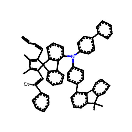 C=C/C=C\C1=C(C)C(C)=C(/C=C(\CC)c2ccccc2)C12c1ccccc1-c1c(N(c3ccc(-c4ccccc4)cc3)c3ccc(-c4cccc5c4-c4ccccc4C5(C)C)cc3)cccc12